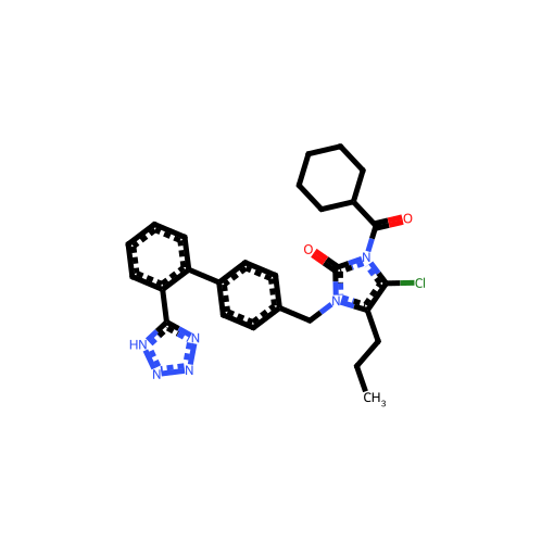 CCCc1c(Cl)n(C(=O)C2CCCCC2)c(=O)n1Cc1ccc(-c2ccccc2-c2nnn[nH]2)cc1